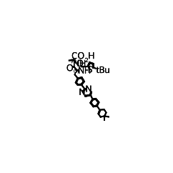 C[C@@H](NC(=O)[C@H](Cc1ccc(-c2ncc(-c3ccc(C4=CCC(C)(C)CC4)cc3)cn2)cc1)NC(=O)c1ccc(C(C)(C)C)s1)C(=O)O